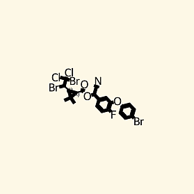 CC1(C)[C@H](C(=O)OC(C#N)c2ccc(F)c(Oc3ccc(Br)cc3)c2)[C@@H]1C(Br)C(Cl)(Cl)Br